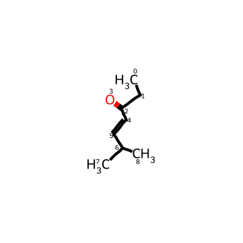 CCC(=O)C=CC(C)C